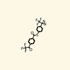 O=C(Sc1ccc(C2(C(F)(F)F)N=N2)cc1)c1ccc(C(=O)C(F)(F)F)cc1